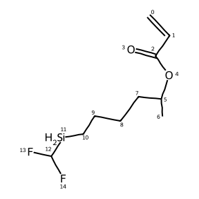 C=CC(=O)OC(C)CCCC[SiH2]C(F)F